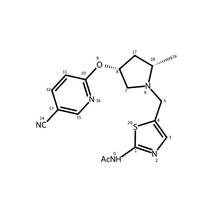 CC(=O)Nc1ncc(CN2C[C@H](Oc3ccc(C#N)cn3)C[C@@H]2C)s1